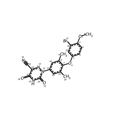 COc1ccc(Oc2c(C)cc(-n3nc(C#N)c(=O)[nH]c3=O)cc2C)cc1Br